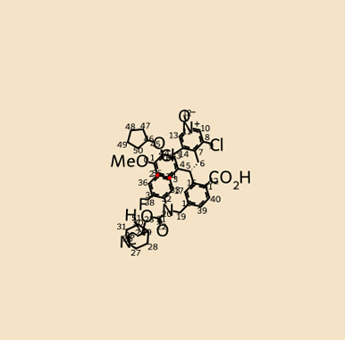 COc1ccc([C@H](Cc2c(Cl)c[n+]([O-])cc2Cl)c2cc(CN(C(=O)O[C@H]3CN4CCC3CC4)c3ccccc3F)ccc2C(=O)O)cc1OC1CCCC1